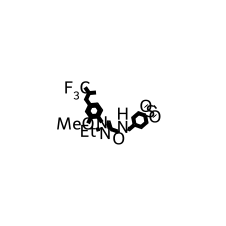 CCc1nc(C(=O)NCC2CCC(S(C)(=O)=O)CC2)cn1-c1ccc(CC(C)C(F)(F)F)cc1OC